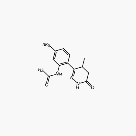 CCCCc1ccc(C2=NNC(=O)CC2C)c(NC(=O)S)c1